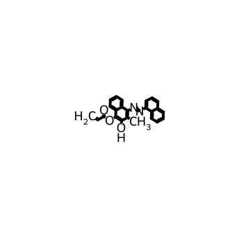 C=CC(=O)Oc1c(O)c(C)c(N=Nc2cccc3ccccc23)c2ccccc12